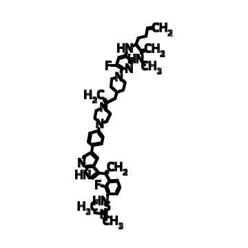 C=CCCC(Nc1cnc(N2CCC(CC(=C)N3CCN(c4ccc(-c5cnc6[nH]cc(C(=C)c7cccc(NSN(C)CC)c7F)c6c5)cc4)CC3)CC2)c(F)c1)C(=C)NC